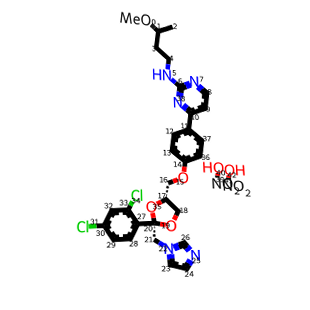 COC(C)CCNc1nccc(-c2ccc(OC[C@@H]3CO[C@@](Cn4ccnc4)(c4ccc(Cl)cc4Cl)O3)cc2)n1.O=[N+]([O-])O.O=[N+]([O-])O